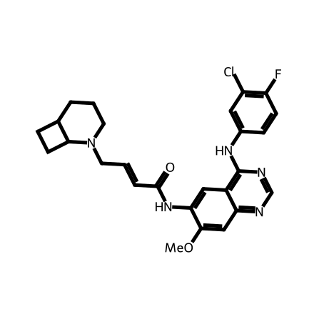 COc1cc2ncnc(Nc3ccc(F)c(Cl)c3)c2cc1NC(=O)/C=C/CN1CCCC2CCC21